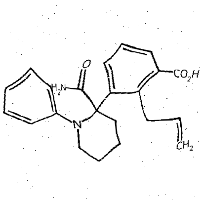 C=CCc1c(C(=O)O)cccc1C1(C(N)=O)CCCCN1c1ccccc1